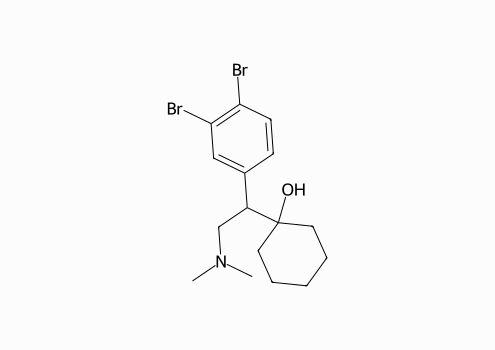 CN(C)CC(c1ccc(Br)c(Br)c1)C1(O)CCCCC1